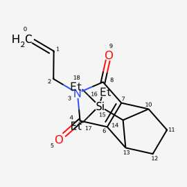 C=CCN1C(=O)C2=C(C1=O)C1CCC2C1[Si](CC)(CC)CC